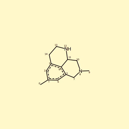 Cc1cc2c3c(c1)CN(C)CC3NCC2